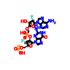 Nc1nc2c(ncn2[C@@H]2O[C@H](CO[PH](=O)O)[C@H](F)[C@@H]2OP(=O)(O)CO[C@H]2O[C@@H](n3cnc4c(N)ncnc43)[C@@H](F)[C@H]2O)c(=O)[nH]1